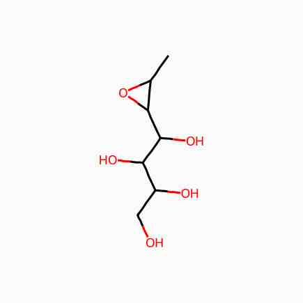 CC1OC1C(O)C(O)C(O)CO